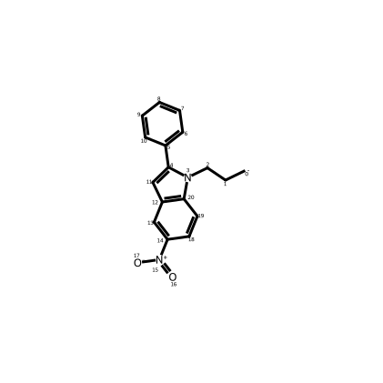 [CH2]CCn1c(-c2ccccc2)cc2cc([N+](=O)[O-])ccc21